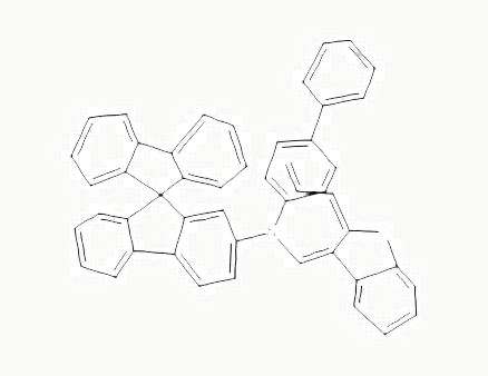 C=C/C=c1/sc2ccccc2/c1=C/N(c1ccc(-c2ccccc2)cc1)c1ccc2c(c1)C1(c3ccccc3-c3ccccc31)c1ccccc1-2